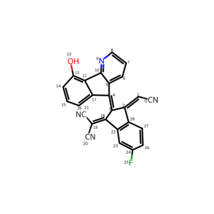 N#C/C=C1/C(=C2\c3cccnc3-c3c(O)cccc32)C(=C(C#N)C#N)c2cc(F)ccc21